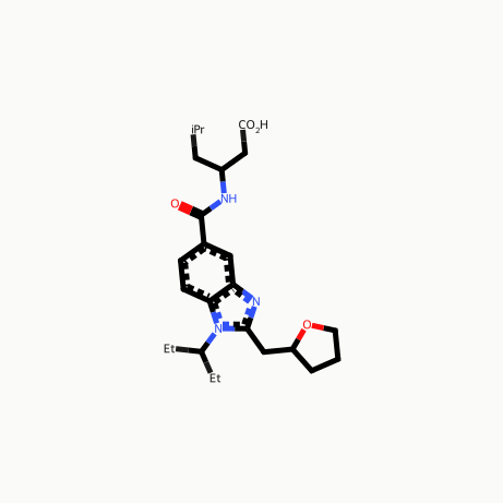 CCC(CC)n1c(CC2CCCO2)nc2cc(C(=O)NC(CC(=O)O)CC(C)C)ccc21